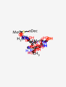 CC(=O)[C@]1(O)Cc2c(O)c3c(c(O)c2[C@@H](O[C@H]2C[C@H](N)[C@H](O)[C@H](C)O2)C1)C(=O)c1ccccc1C3=O.CC/C(=C(\c1ccc(I)cc1)c1ccc(OCCN2CCCC2)cc1)c1ccccc1.CCCCCCCCCCCCCCCCSCC(COC)COP(=O)([O-])OCC[N+](C)(C)C.CNC(=O)[C@H](Cc1c[nH]c2ccccc12)NC(=O)[C@@H](CC(=O)NO)CC(C)C.O=C1C2CC3CC1CC(O)(C3)C2.O=[PH](O)O.c1c[nH]cn1